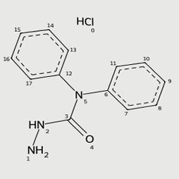 Cl.NNC(=O)N(c1ccccc1)c1ccccc1